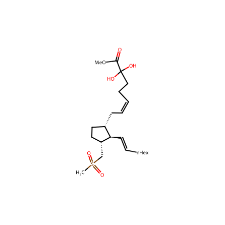 CCCCCC/C=C/[C@@H]1[C@@H](C/C=C\CCC(O)(O)C(=O)OC)CC[C@H]1CS(C)(=O)=O